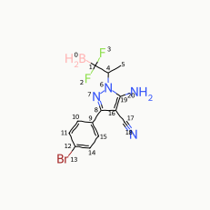 BC(F)(F)C(C)n1nc(-c2ccc(Br)cc2)c(C#N)c1N